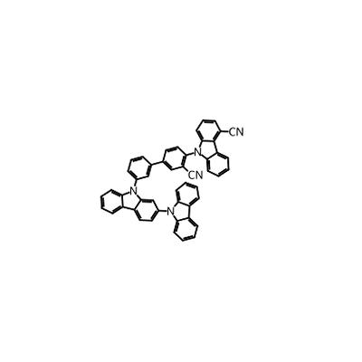 N#Cc1cc(-c2cccc(-n3c4ccccc4c4ccc(-n5c6ccccc6c6ccccc65)cc43)c2)ccc1-n1c2ccccc2c2c(C#N)cccc21